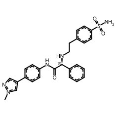 Cn1cc(-c2ccc(NC(=O)[C@@H](NCCc3ccc(S(N)(=O)=O)cc3)c3ccccc3)cc2)cn1